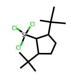 CC(C)(C)C1CCC(C(C)(C)C)C1[Si](Cl)(Cl)Cl